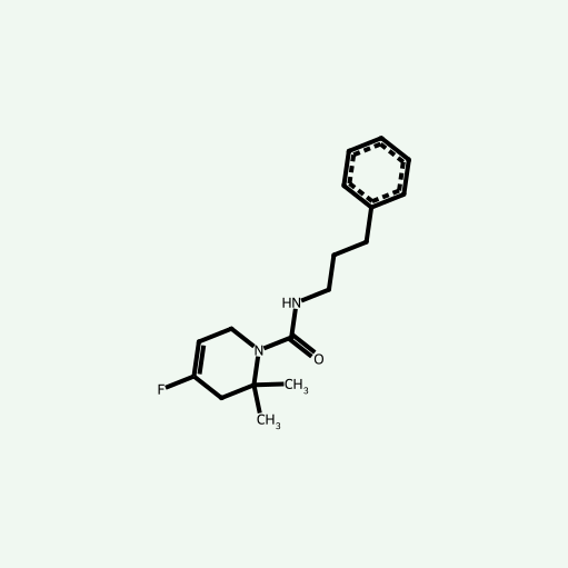 CC1(C)CC(F)=CCN1C(=O)NCCCc1ccccc1